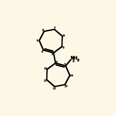 NC1=C(C2=CCCCCC2)CCCCC1